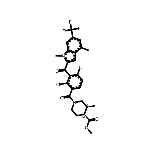 COC(=O)[C@H]1CCN(C(=O)c2ccc(Cl)c(C(=O)c3cc4c(C)cc(C(F)(F)F)cc4n3C)c2Cl)C[C@H]1C